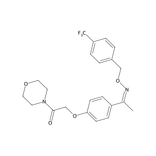 CC(=NOCc1ccc(C(F)(F)F)cc1)c1ccc(OCC(=O)N2CCOCC2)cc1